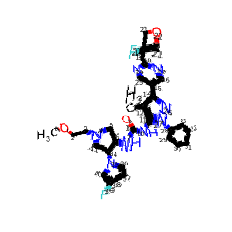 COCCN1CC(NC(=O)Nc2c(C)c(-c3cnc(C4(F)COC4)nc3)nn2-c2ccccc2)C(n2ccc(F)c2)C1